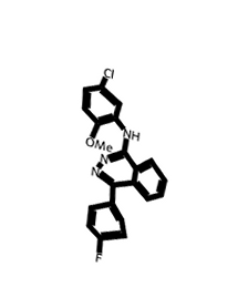 COc1ccc(Cl)cc1Nc1nnc(-c2ccc(F)cc2)c2ccccc12